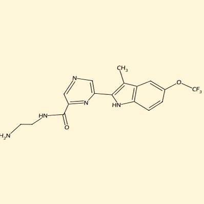 Cc1c(-c2cncc(C(=O)NCCN)n2)[nH]c2ccc(OC(F)(F)F)cc12